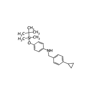 CC(C)(C)[Si](C)(C)Oc1ccc(NCc2ccc(C3CC3)cc2)cc1